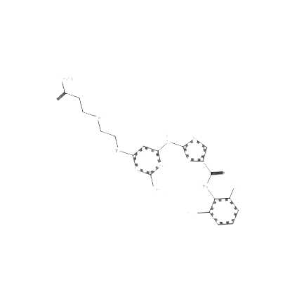 COC(=O)CCNCCNc1cc(Nc2ncc(C(=O)Nc3c(C)cccc3Cl)s2)nc(C)n1